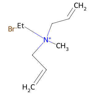 C=CC[N+](C)(CC)CC=C.[Br-]